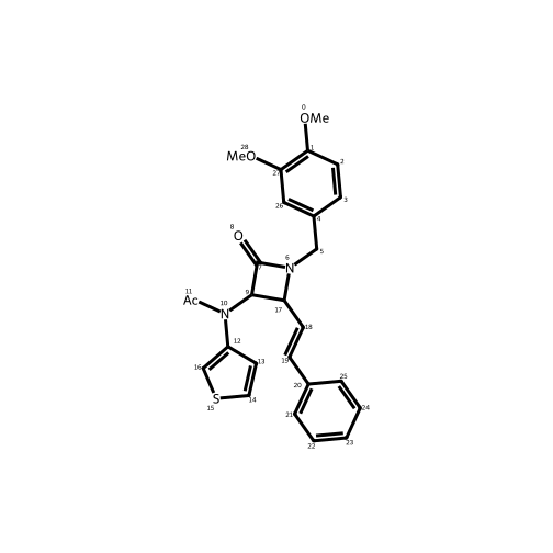 COc1ccc(CN2C(=O)C(N(C(C)=O)c3ccsc3)C2C=Cc2ccccc2)cc1OC